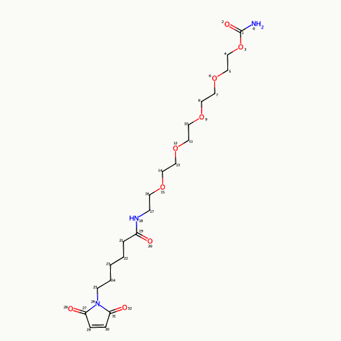 NC(=O)OCCOCCOCCOCCOCCNC(=O)CCCCCN1C(=O)C=CC1=O